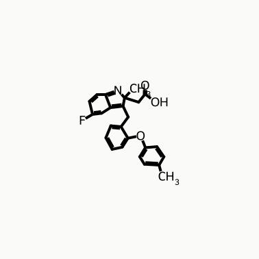 Cc1ccc(Oc2ccccc2CC2=c3cc(F)ccc3=NC2(C)CC(=O)O)cc1